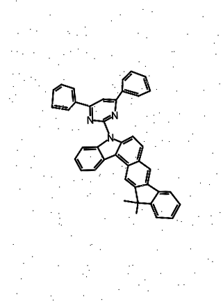 CC1(C)c2ccccc2-c2cc3ccc4c(c3cc21)c1ccccc1n4-c1nc(-c2ccccc2)cc(-c2ccccc2)n1